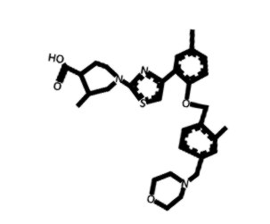 Cc1ccc(OCc2ccc(CN3CCOCC3)cc2C)c(-c2csc(N3CCC(C(=O)O)C(C)C3)n2)c1